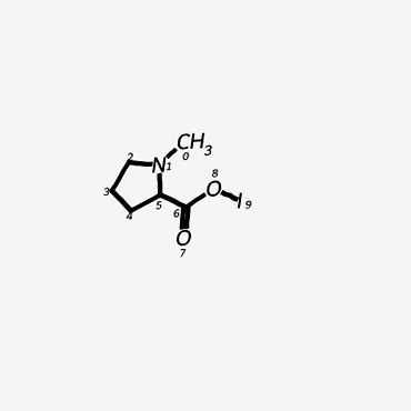 CN1CCCC1C(=O)OI